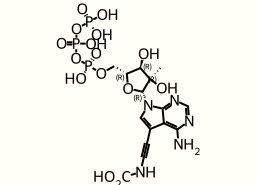 C[C@@]1(O)[C@H](O)[C@@H](COP(=O)(O)OP(=O)(O)OP(=O)(O)O)O[C@H]1n1cc(C#CNC(=O)O)c2c(N)ncnc21